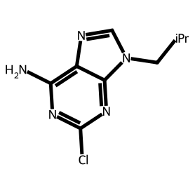 CC(C)Cn1cnc2c(N)nc(Cl)nc21